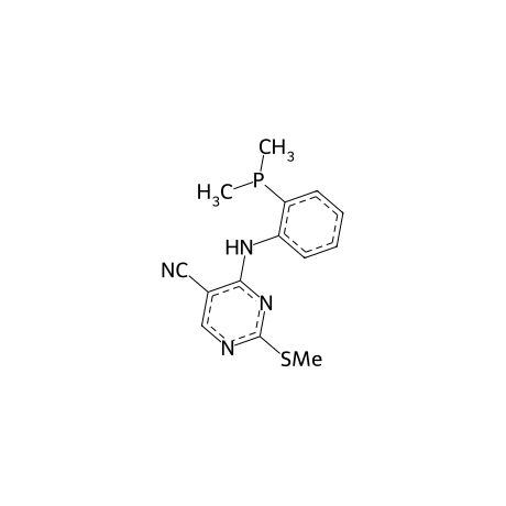 CSc1ncc(C#N)c(Nc2ccccc2P(C)C)n1